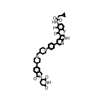 O=C1CC[C@H](N2Cc3cc(C4CCN(CC5CCN(c6ccc(-c7cnc8[nH]cc(C(=O)c9c(F)ccc(NS(=O)(=O)CC%10CC%10)c9F)c8c7)cc6)CC5)CC4)ccc3C2=O)C(=O)N1